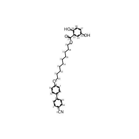 N#Cc1ccc(-c2ccc(OCCCCCCCCCCOC(=O)c3cc(O)ccc3O)cc2)cc1